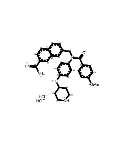 COc1ccc(C(=O)N(Cc2ccc3ccc(C(=N)N)cc3c2)c2ccc(OC3CCNCC3)cc2)cc1.Cl.Cl